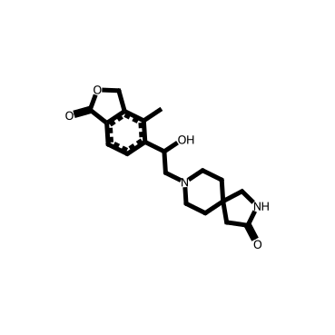 Cc1c(C(O)CN2CCC3(CC2)CNC(=O)C3)ccc2c1COC2=O